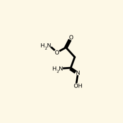 NOC(=O)C/C(N)=N/O